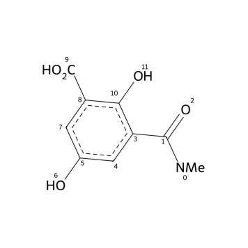 CNC(=O)c1cc(O)cc(C(=O)O)c1O